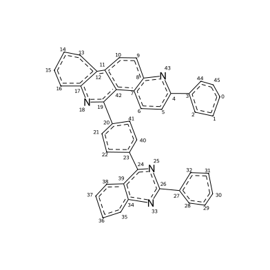 c1ccc(-c2ccc3c(ccc4c5ccccc5nc(-c5ccc(-c6nc(-c7ccccc7)nc7ccccc67)cc5)c34)n2)cc1